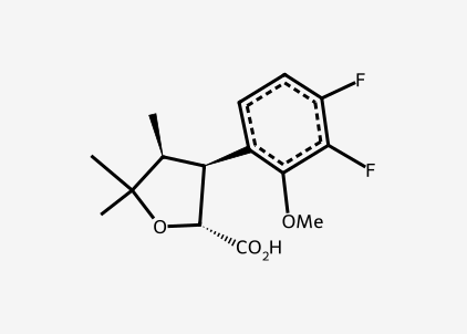 COc1c([C@H]2[C@H](C(=O)O)OC(C)(C)[C@H]2C)ccc(F)c1F